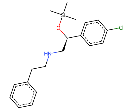 C[Si](C)(C)O[C@H](CNCCc1ccccc1)c1ccc(Cl)cc1